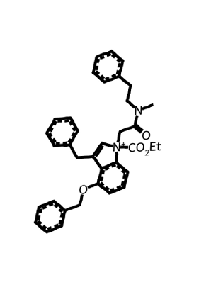 CCOC(=O)[N+]1(CC(=O)N(C)CCc2ccccc2)C=C(Cc2ccccc2)c2c(OCc3ccccc3)cccc21